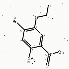 CCOc1cc([N+](=O)[O-])c(N)cc1Br